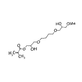 C=C(C)C(=O)OCC(O)COCCCCOCC(O)COC